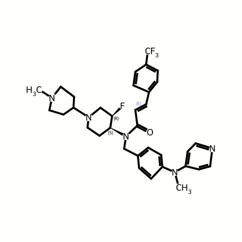 CN1CCC(N2CC[C@H](N(Cc3ccc(N(C)c4ccncc4)cc3)C(=O)/C=C/c3ccc(C(F)(F)F)cc3)[C@H](F)C2)CC1